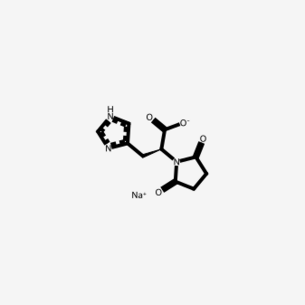 O=C([O-])[C@H](Cc1c[nH]cn1)N1C(=O)CCC1=O.[Na+]